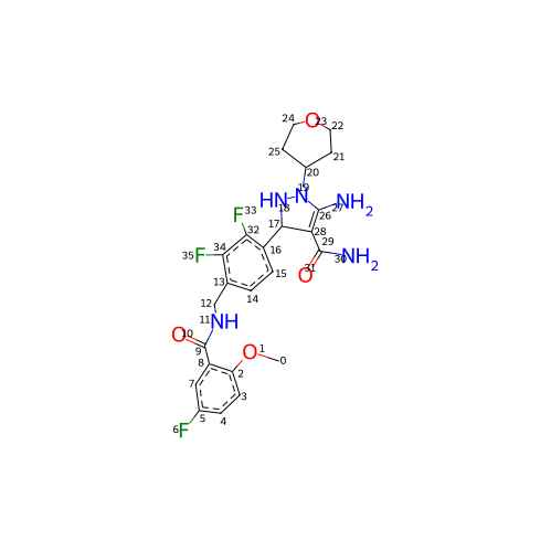 COc1ccc(F)cc1C(=O)NCc1ccc(C2NN(C3CCOCC3)C(N)=C2C(N)=O)c(F)c1F